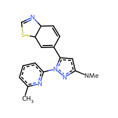 CNc1cc(C2=CC3SC=NC3C=C2)n(-c2cccc(C)n2)n1